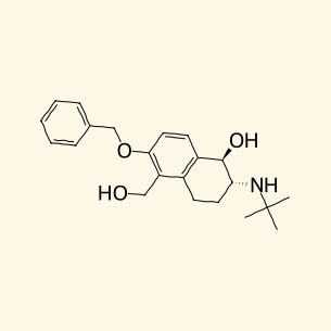 CC(C)(C)N[C@@H]1CCc2c(ccc(OCc3ccccc3)c2CO)[C@H]1O